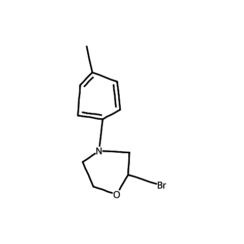 Cc1ccc(N2CCOC(Br)C2)cc1